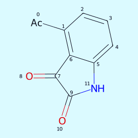 CC(=O)c1cccc2c1C(=O)C(=O)N2